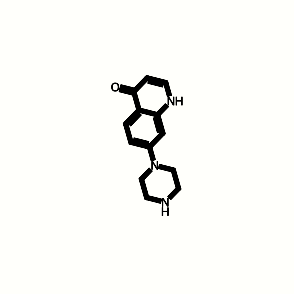 O=c1cc[nH]c2cc(N3CCNCC3)ccc12